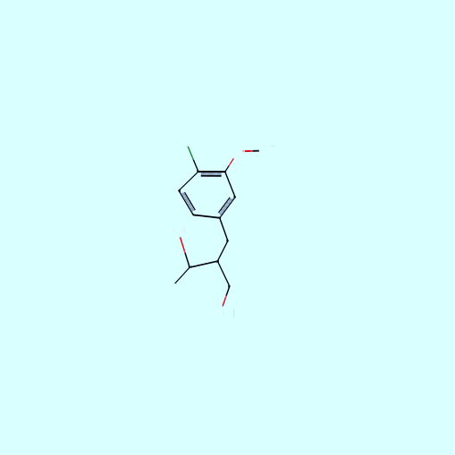 CC(O)C(CO)Cc1ccc(Cl)c(OC(F)(F)F)c1